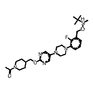 CC(=O)N1CCC(COc2ncc(N3CCN(c4cccc(CO[SiH](C)C(C)(C)C)c4F)CC3)cn2)CC1